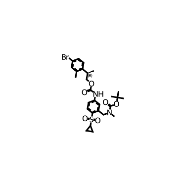 Cc1cc(Br)ccc1[C@@H](C)COC(=O)Nc1ccc(S(=O)(=O)C2CC2)c(CN(C)C(=O)OC(C)(C)C)c1